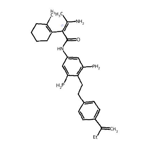 C=C(CC)c1ccc(CCc2c(P)cc(NC(=O)/C(C3=C(C)CCCC3)=C(/C)N)cc2P)cc1